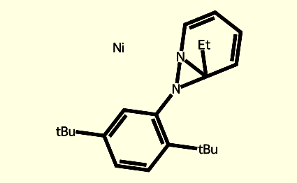 CCC12C=CC=CN1N2c1cc(C(C)(C)C)ccc1C(C)(C)C.[Ni]